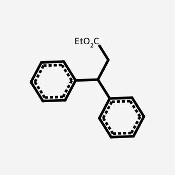 CCOC(=O)CC(c1ccccc1)c1ccccc1